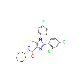 Cc1c(C(=O)NC2CCCCC2)nc(-c2ccc(Cl)cc2Cl)n1-c1ccc(F)cc1